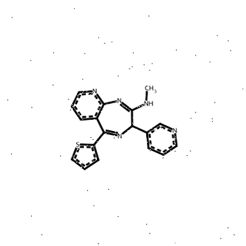 CNC1=Nc2ncccc2C(c2cccs2)=NC1c1cccnc1